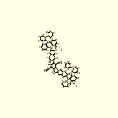 Cc1ccccc1N(c1ccc2cc3c(cc2c1)oc1c(C#N)c2oc4cc5cc(N(c6ccccc6C)c6cccc7c6oc6c(-c8ccccc8)cccc67)ccc5cc4c2c(C#N)c13)c1cccc2c1oc1c(-c3ccccc3)cccc12